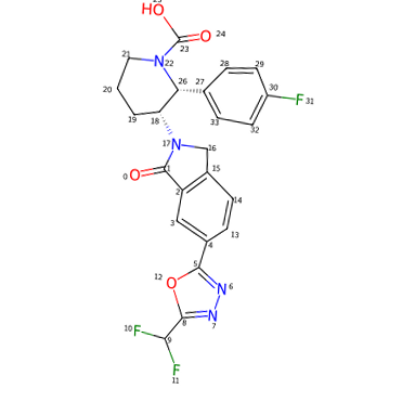 O=C1c2cc(-c3nnc(C(F)F)o3)ccc2CN1[C@@H]1CCCN(C(=O)O)[C@@H]1c1ccc(F)cc1